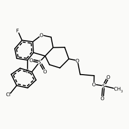 CS(=O)(=O)OCCOC1CCC2(S(=O)(=O)c3ccc(Cl)cc3)c3c(F)ccc(F)c3OCC2C1